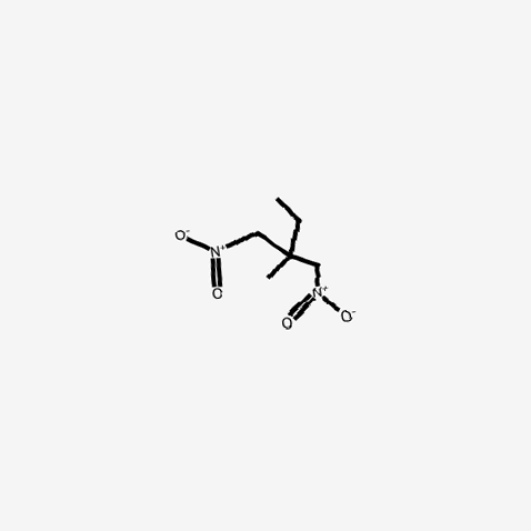 CCC(C)(C[N+](=O)[O-])C[N+](=O)[O-]